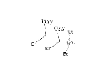 C[CH2][Sn+2][CH2]C.O=C([O-])CCl.O=C([O-])CCl